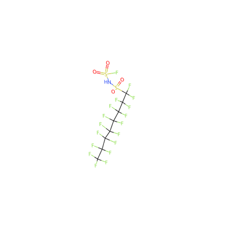 O=S(=O)(F)NS(=O)(=O)C(F)(F)C(F)(F)C(F)(F)C(F)(F)C(F)(F)C(F)(F)C(F)(F)C(F)(F)F